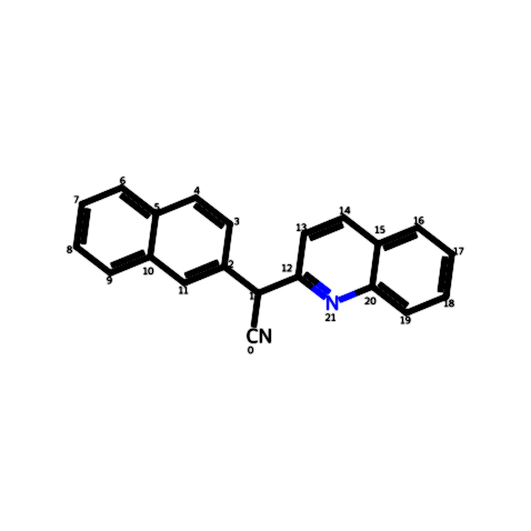 N#CC(c1ccc2ccccc2c1)c1ccc2ccccc2n1